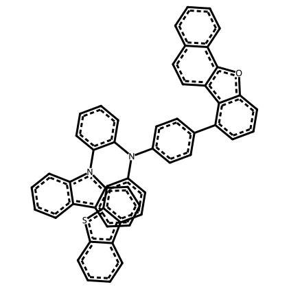 c1ccc(-n2c3ccccc3c3ccccc32)c(N(c2ccc(-c3cccc4oc5c6ccccc6ccc5c34)cc2)c2ccc3c(c2)sc2ccccc23)c1